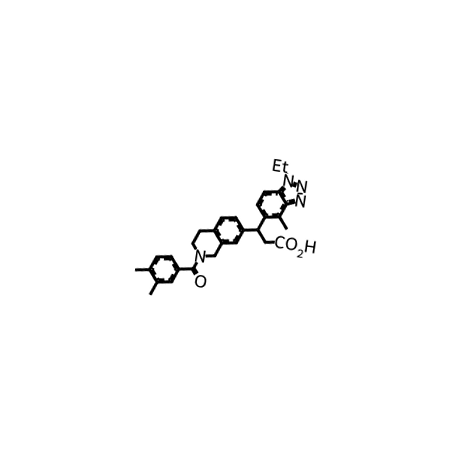 CCn1nnc2c(C)c(C(CC(=O)O)c3ccc4c(c3)CN(C(=O)c3ccc(C)c(C)c3)CC4)ccc21